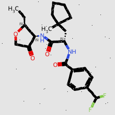 CC[C@@H]1OCC(=O)[C@H]1NC(=O)[C@H](CC1(C)CCCC1)NC(=O)c1ccc(C(F)F)cc1